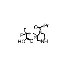 CC(C)C(=O)N1CCNC[C@H]1C.O=C(O)C(F)(F)F